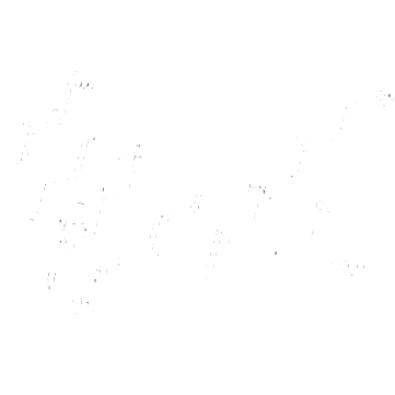 COCCOC(=O)NC(CCC(=O)O)C(=O)OC1=CC[C@@]2(O)[C@H]3Cc4ccc(OC)c5c4[C@@]2(CCN3C)[C@H]1O5